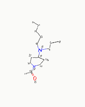 CCCCCN(CCC)C1CCN(C(C)=O)CC1